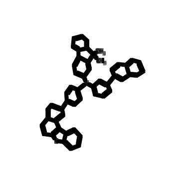 CC1(C)c2ccccc2-c2ccc(N(c3ccc(-c4ccc5ccc6sc7ccccc7c6c5c4)cc3)c3cccc(-c4ccc5ccccc5c4)c3)cc21